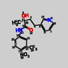 C[C@](O)(CCc1cccnc1)C(=O)Nc1ccc([N+](=O)[O-])c(C(F)(F)F)c1